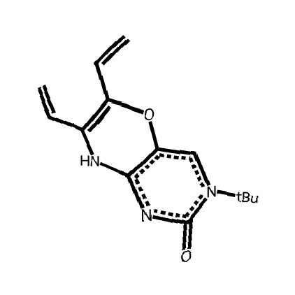 C=CC1=C(C=C)Oc2cn(C(C)(C)C)c(=O)nc2N1